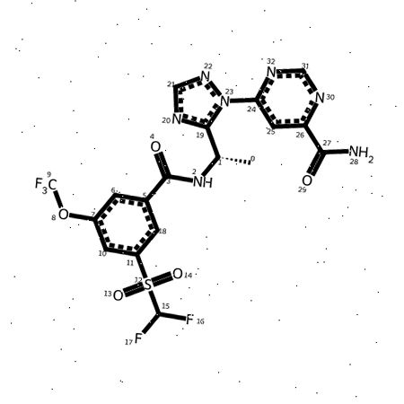 C[C@H](NC(=O)c1cc(OC(F)(F)F)cc(S(=O)(=O)C(F)F)c1)c1ncnn1-c1cc(C(N)=O)ncn1